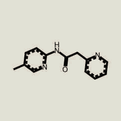 Cc1ccc(NC(=O)Cc2ccccn2)nc1